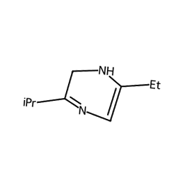 CCC1=CN=C(C(C)C)CN1